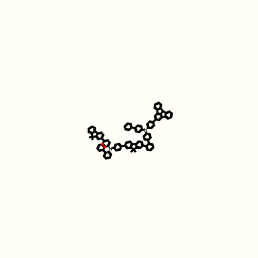 CC1(C)c2ccccc2-c2ccc(-c3ccc(N(c4ccc(-c5ccc6c(c5)C(C)(C)c5cc(-c7ccccc7-c7ccc(N(c8ccc(-c9ccccc9)cc8)c8ccc(-c9cc%10c%11c(c9)-c9ccccc9C%11c9ccccc9-%10)cc8)cc7)ccc5-6)cc4)c4ccccc4-c4ccccc4)cc3)cc21